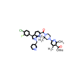 COC(=O)c1c(C)cc(N2CCN(C(=O)c3ccc4c(-c5ccc(Cl)c(F)c5)cn(Cc5cccnc5)c4n3)C(C)(C)C2)nc1C